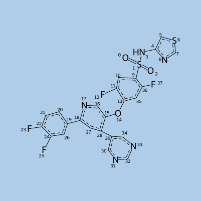 O=S(=O)(Nc1cscn1)c1cc(F)c(Oc2cnc(-c3ccc(F)c(F)c3)cc2-c2cncnc2)cc1F